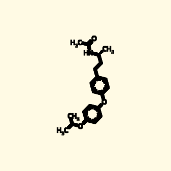 CC(=O)N[C@@H](C)CCc1ccc(Oc2ccc(OC(C)C)cc2)cc1